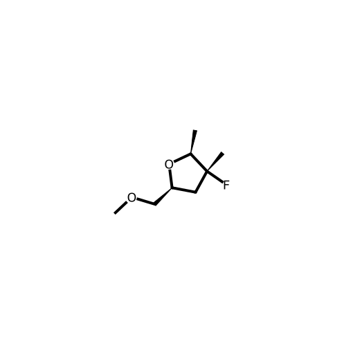 COC[C@@H]1C[C@@](C)(F)[C@H](C)O1